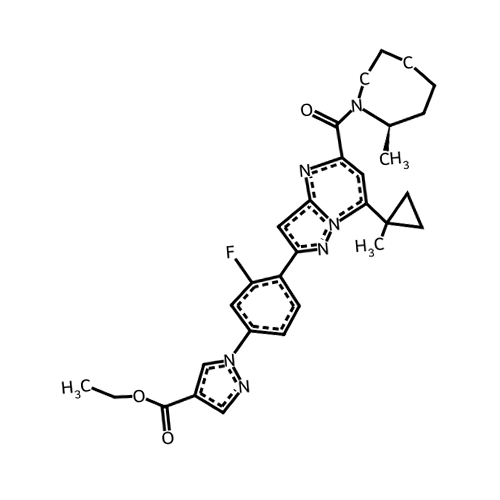 CCOC(=O)c1cnn(-c2ccc(-c3cc4nc(C(=O)N5CCCCC[C@H]5C)cc(C5(C)CC5)n4n3)c(F)c2)c1